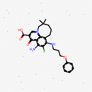 CC1(C)CCCc2c(NCCCOc3ccccc3)c(F)c(N)c3c(=O)c(C(=O)O)cn(c23)C1